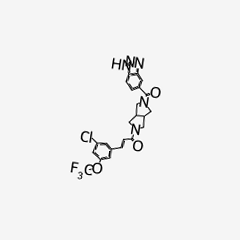 O=C(/C=C/c1cc(Cl)cc(OC(F)(F)F)c1)N1CC2CN(C(=O)c3ccc4[nH]nnc4c3)CC2C1